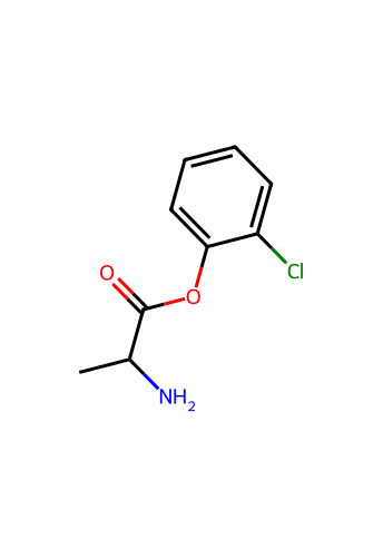 CC(N)C(=O)Oc1ccccc1Cl